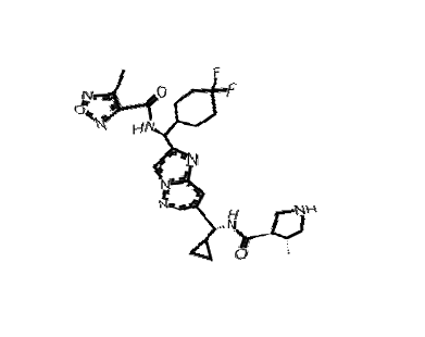 Cc1nonc1C(=O)N[C@H](c1cn2ncc([C@H](NC(=O)[C@H]3CNC[C@@H]3C)C3CC3)cc2n1)C1CCC(F)(F)CC1